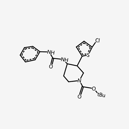 CC(C)(C)OC(=O)N1CCC(NC(=O)Nc2ccccc2)C(c2ccc(Cl)s2)C1